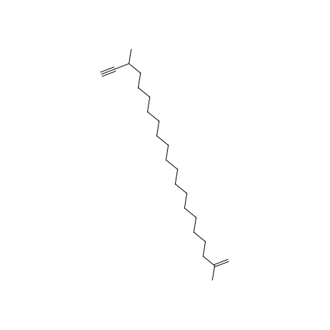 C#CC(C)CCCCCCCCCCCCCCCCC(=C)C